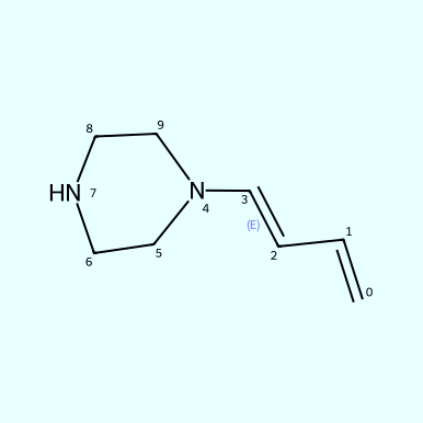 C=C/C=C/N1CCNCC1